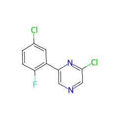 Fc1ccc(Cl)cc1-c1cncc(Cl)n1